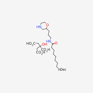 CCCCCCCCCCCCCCCCCC(=O)NCCCC1CNCCO1.O=C(O)CC(O)(CC(=O)O)C(=O)O